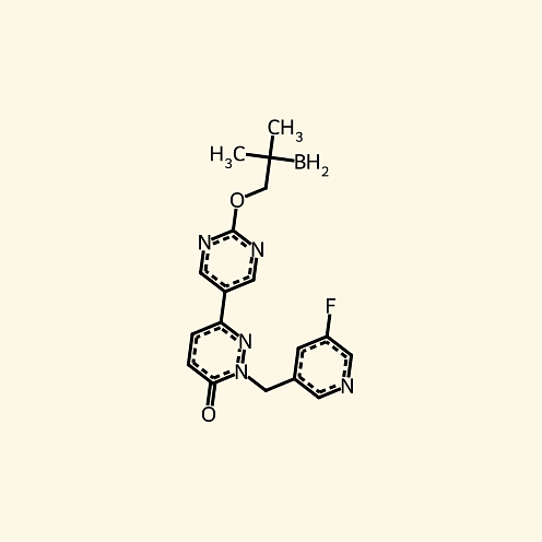 BC(C)(C)COc1ncc(-c2ccc(=O)n(Cc3cncc(F)c3)n2)cn1